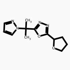 CC(C)(c1nnc(C2CCCO2)o1)n1c[c]cn1